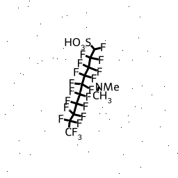 CNC.O=S(=O)(O)C(F)C(F)(F)C(F)(F)C(F)(F)C(F)(F)C(F)(F)C(F)(F)C(F)(F)C(F)(F)C(F)(F)F